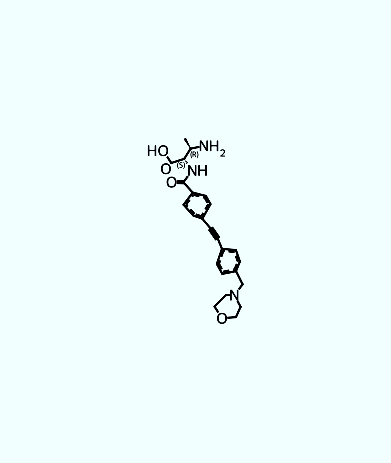 C[C@@H](N)[C@H](NC(=O)c1ccc(C#Cc2ccc(CN3CCOCC3)cc2)cc1)C(=O)O